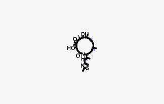 C/C1=C/C[C@@H](/C(C)=C/c2csc(C)n2)NC(=O)C[C@H](O)C(C)(C)C(=O)[C@H](C)[C@@H](O)[C@@H](C)/C=C\C1